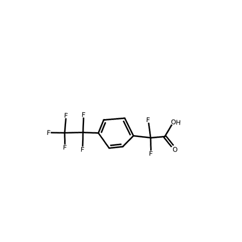 O=C(O)C(F)(F)c1ccc(C(F)(F)C(F)(F)F)cc1